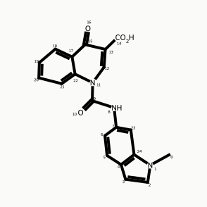 Cn1ccc2ccc(NC(=O)n3cc(C(=O)O)c(=O)c4ccccc43)cc21